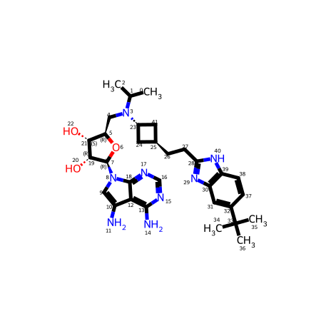 CC(C)N(C[C@H]1O[C@@H](n2cc(N)c3c(N)ncnc32)[C@H](O)[C@@H]1O)[C@H]1C[C@H](CCc2nc3cc(C(C)(C)C)ccc3[nH]2)C1